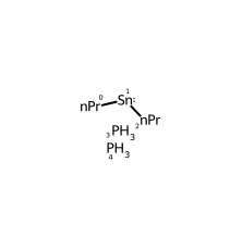 CC[CH2][Sn][CH2]CC.P.P